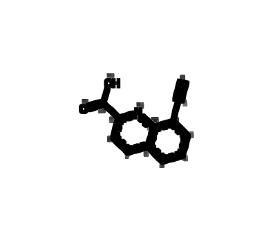 C#Cc1cccc2ccc(C(=O)O)nc12